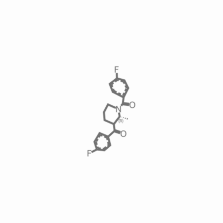 C[C@@H]1C(C(=O)c2ccc(F)cc2)CCCN1C(=O)c1ccc(F)cc1